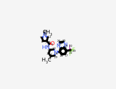 C[C@H]1C[C@@H](NC(=O)C2CCN(C)C2)CN(c2ccc(C(F)(F)I)c3nccnc23)C1